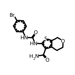 NC(=O)c1c(NC(=O)Nc2ccc(Br)cc2)sc2c1CCOC2